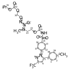 Cc1ccc(-c2cc(C(F)(F)F)nn2-c2ccc(S(=O)(=O)NC(=O)OCCN(C)[N+]([O-])=NOCOC(=O)OC(C)C)cc2)cc1